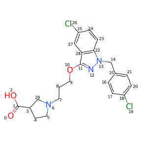 O=C(O)C1CCN(CCCOc2nn(Cc3ccc(Cl)cc3)c3ccc(Cl)cc23)C1